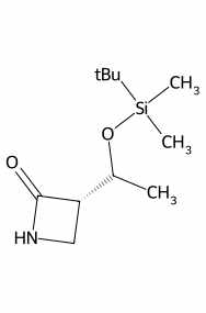 CC(O[Si](C)(C)C(C)(C)C)[C@@H]1CNC1=O